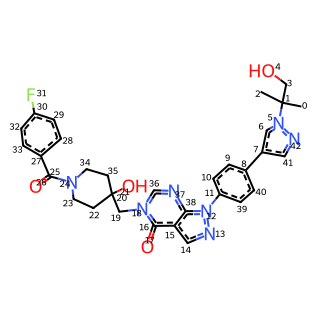 CC(C)(CO)n1cc(-c2ccc(-n3ncc4c(=O)n(CC5(O)CCN(C(=O)c6ccc(F)cc6)CC5)cnc43)cc2)cn1